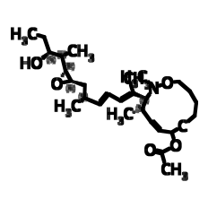 CC[C@H](O)[C@@H](C)[C@H]1O[C@@H]1C[C@H](C)C=CC=C(C)[C@@H]1[C@@H](C)C=CC(OC(C)=O)CCCCCON1C